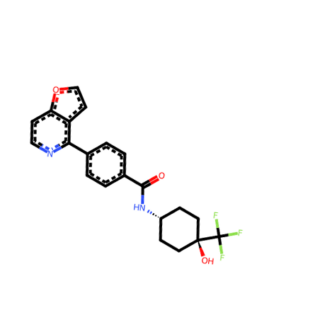 O=C(N[C@H]1CC[C@@](O)(C(F)(F)F)CC1)c1ccc(-c2nccc3occc23)cc1